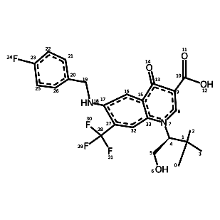 CC(C)(C)[C@@H](CO)n1cc(C(=O)O)c(=O)c2cc(NCc3ccc(F)cc3)c(C(F)(F)F)cc21